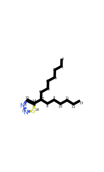 CCCCCCCC(CCCCCC)c1cnns1